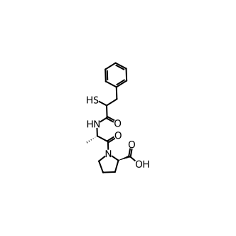 C[C@H](NC(=O)C(S)Cc1ccccc1)C(=O)N1CCC[C@@H]1C(=O)O